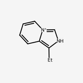 CCc1[nH]c[n+]2ccccc12